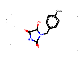 COc1ccc(CN2C(=O)NC(=O)C2O)cc1